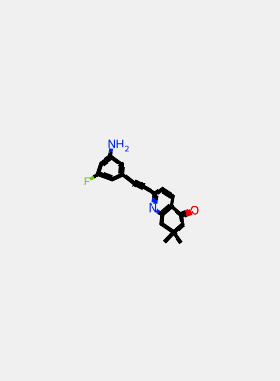 CC1(C)CC(=O)c2ccc(C#Cc3cc(N)cc(F)c3)nc2C1